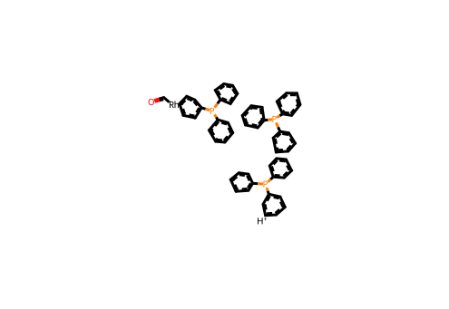 O=[CH][Rh-].[H+].c1ccc(P(c2ccccc2)c2ccccc2)cc1.c1ccc(P(c2ccccc2)c2ccccc2)cc1.c1ccc(P(c2ccccc2)c2ccccc2)cc1